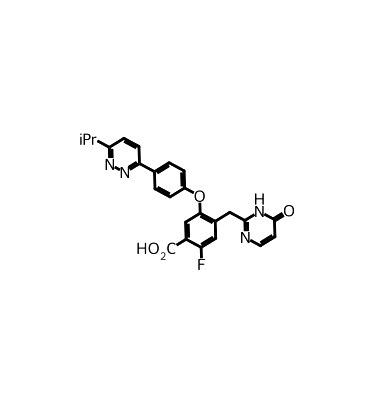 CC(C)c1ccc(-c2ccc(Oc3cc(C(=O)O)c(F)cc3Cc3nccc(=O)[nH]3)cc2)nn1